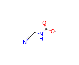 N#CCNC([O])=O